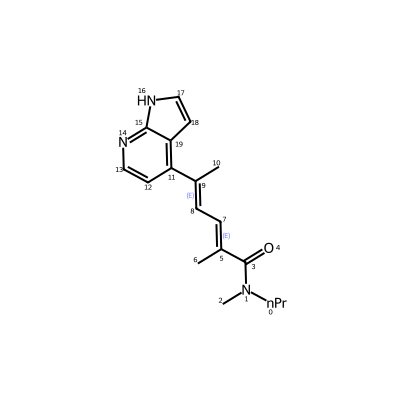 CCCN(C)C(=O)/C(C)=C/C=C(\C)c1ccnc2[nH]ccc12